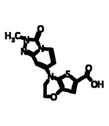 Cn1nc2cc(N3CCOc4cc(C(=O)O)sc43)ccn2c1=O